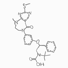 CSc1ncc2c(n1)N(C)CCN(c1cccc(OC(CN(C(=O)O)C(C)(C)C)c3ccccc3)c1)C2=O